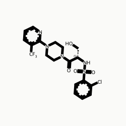 O=C([C@H](CO)NS(=O)(=O)c1ccccc1Cl)N1CCN(c2ncccc2C(F)(F)F)CC1